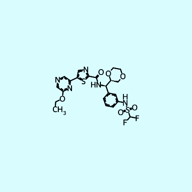 CCOc1cncc(-c2cnc(C(=O)N[C@H](c3cccc(NS(=O)(=O)C(F)F)c3)[C@@H]3COCCO3)s2)n1